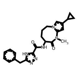 CN1C(=O)C(NC(=O)c2nnc(Cc3ccccc3)[nH]2)CCCn2cc(C3CC3)cc21